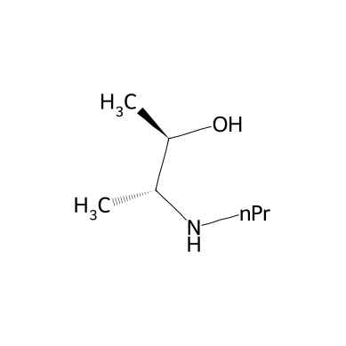 CCCN[C@H](C)[C@@H](C)O